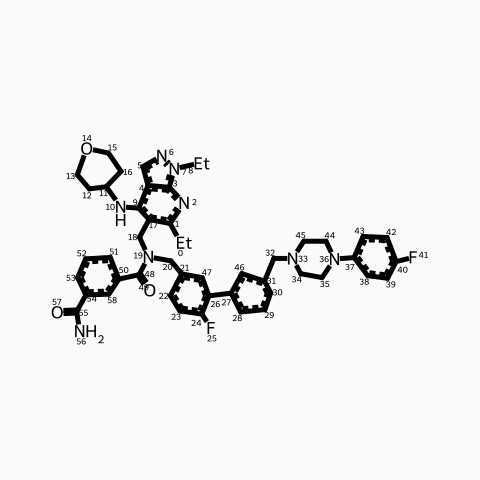 CCc1nc2c(cnn2CC)c(NC2CCOCC2)c1CN(Cc1ccc(F)c(-c2cccc(CN3CCN(c4ccc(F)cc4)CC3)c2)c1)C(=O)c1cccc(C(N)=O)c1